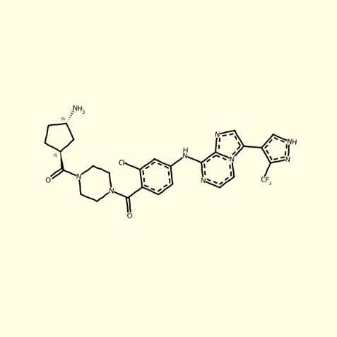 N[C@H]1CC[C@H](C(=O)N2CCN(C(=O)c3ccc(Nc4nccn5c(-c6c[nH]nc6C(F)(F)F)cnc45)cc3Cl)CC2)C1